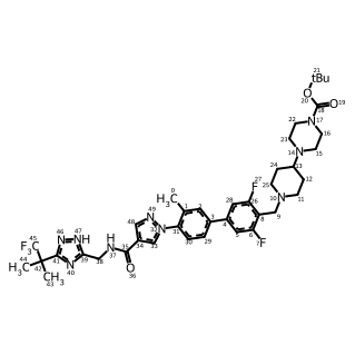 Cc1cc(-c2cc(F)c(CN3CCC(N4CCN(C(=O)OC(C)(C)C)CC4)CC3)c(F)c2)ccc1-n1cc(C(=O)NCc2nc(C(C)(C)C(F)(F)F)n[nH]2)cn1